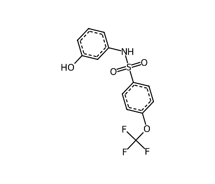 O=S(=O)(Nc1cccc(O)c1)c1ccc(OC(F)(F)F)cc1